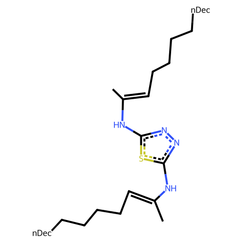 CCCCCCCCCCCCCCC=C(C)Nc1nnc(NC(C)=CCCCCCCCCCCCCCC)s1